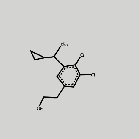 CC(C)(C)[C](c1cc(CCO)cc(Cl)c1Cl)C1CC1